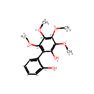 COc1c(O)c(-c2ccccc2O)c(OC)c(OC)c1OC